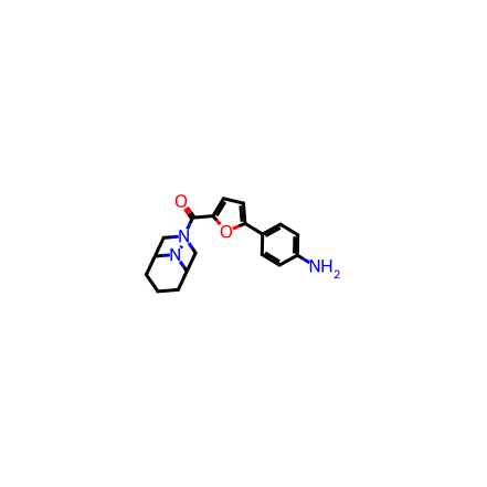 CN1C2CCCC1CN(C(=O)c1ccc(-c3ccc(N)cc3)o1)C2